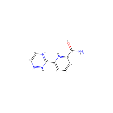 NC(=O)c1cccc(-c2nccnn2)n1